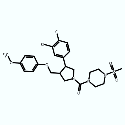 CS(=O)(=O)N1CCN(C(=O)N2CC(COc3ccc(OC(F)(F)F)cc3)C(c3ccc(Cl)c(Cl)c3)C2)CC1